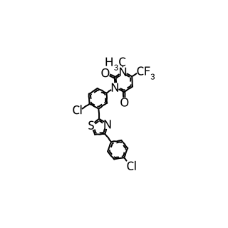 Cn1c(C(F)(F)F)cc(=O)n(-c2ccc(Cl)c(-c3nc(-c4ccc(Cl)cc4)cs3)c2)c1=O